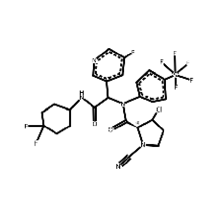 N#CN1CCC(Cl)[C@@H]1C(=O)N(c1ccc(S(F)(F)(F)(F)F)cc1)C(C(=O)NC1CCC(F)(F)CC1)c1cncc(F)c1